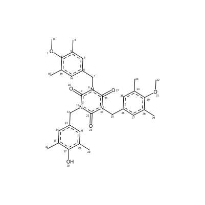 COc1c(C)cc(Cn2c(=O)n(Cc3cc(C)c(O)c(C)c3)c(=O)n(Cc3cc(C)c(OC)c(C)c3)c2=O)cc1C